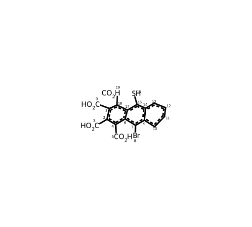 O=C(O)c1c(C(=O)O)c(C(=O)O)c2c(Br)c3ccccc3c(S)c2c1C(=O)O